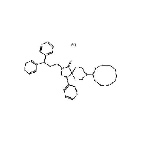 Cl.O=C1N(CCC(c2ccccc2)c2ccccc2)CN(c2ccccc2)C12CCN(C1CCCCCCCCC1)CC2